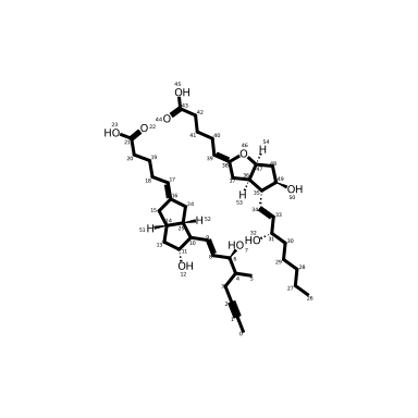 CC#CCC(C)[C@H](O)/C=C/C1[C@H](O)C[C@@H]2C/C(=C\CCCC(=O)O)C[C@H]12.CCCCC[C@H](O)/C=C/[C@@H]1[C@H]2C/C(=C/CCCC(=O)O)O[C@H]2C[C@H]1O